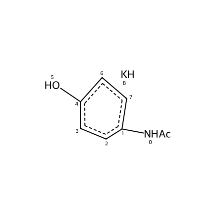 CC(=O)Nc1ccc(O)cc1.[KH]